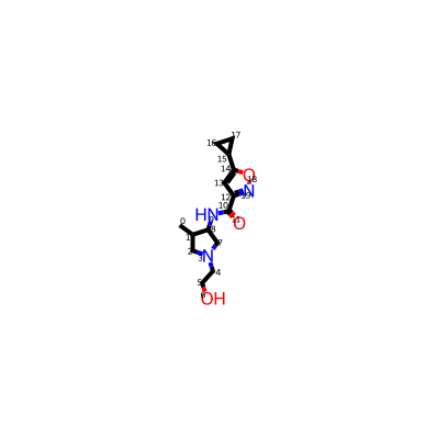 CC1CN(CCO)CC1NC(=O)c1cc(C2CC2)on1